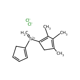 [CH2]=[Ti+2]([C]1=CC=CC1)[C]1=C(C)C(C)=C(C)C1.[Cl-].[Cl-]